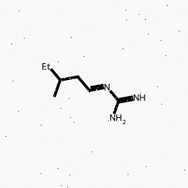 CCC(C)CC=NC(=N)N